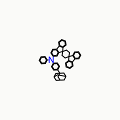 c1ccc(N(c2ccc(C34CC5CC(CC(C5)C3)C4)cc2)c2ccc3c(c2)C2(CCC4(CC2)c2ccccc2-c2ccccc24)c2ccccc2-3)cc1